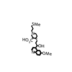 COc1ccc2nccc([C@H](O)CC[C@@H]3CCN(CCCSC)C[C@@H]3C(=O)O)c2c1